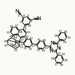 N#Cc1cc(C#N)cc(-c2ccc(C3(c4ccc(-c5ccc(-c6nc(-c7ccccc7)nc(-c7ccccc7)n6)cc5)cc4)C4CC5CC(C4)CC3C5)c3ccccc23)c1